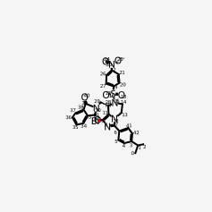 CC(C)c1ccc(-c2nc(Br)c3n2CCN(S(=O)(=O)c2ccc([N+](=O)[O-])cc2)[C@@H]3CN2C(=O)c3ccccc3C2=O)cc1